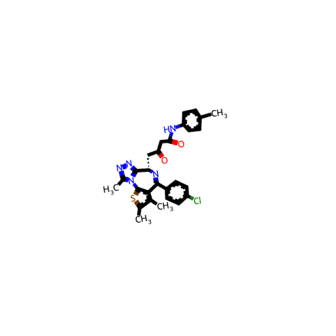 Cc1ccc(NC(=O)CC(=O)C[C@@H]2N=C(c3ccc(Cl)cc3)c3c(sc(C)c3C)-n3c(C)nnc32)cc1